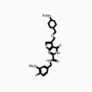 COc1cc(CNC(=O)c2nc3scc(COCC4CCC(NC(C)=O)CC4)c3c(=O)[nH]2)ccc1F